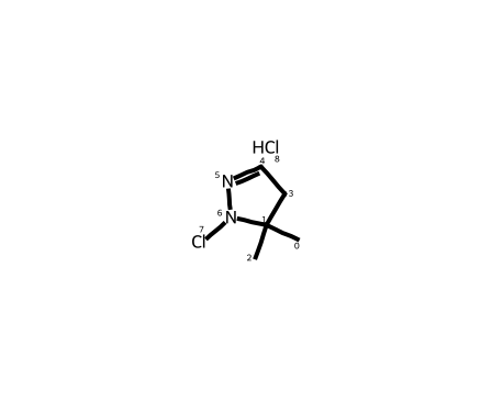 CC1(C)CC=NN1Cl.Cl